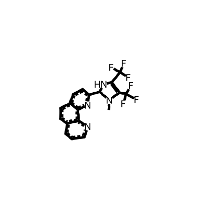 CN1C(C(F)(F)F)=C(C(F)(F)F)NC1c1ccc2ccc3cccnc3c2n1